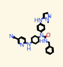 Cn1nccc1Nc1ccc(N(C(=O)NCc2ccccc2)C2CCC(Nc3ccc(C#N)cn3)CC2)cc1